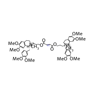 COc1ccc(C[C@@H]2c3cc(OC)c(OC)cc3CC[N+]2(C)CCCOC(=O)/C=C/C(=O)OCCC[N@+]2(C)CCc3cc(OC)c(OC)cc3[C@H]2Cc2ccc(OC)c(OC)c2)cc1OC